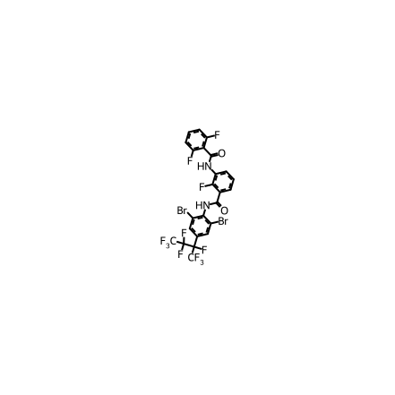 O=C(Nc1c(Br)cc(C(F)(C(F)(F)F)C(F)(F)C(F)(F)F)cc1Br)c1cccc(NC(=O)c2c(F)cccc2F)c1F